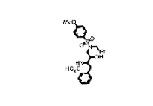 COc1ccc(S(=O)(=O)N(CC(C)C)CC(O)C(Cc2ccccc2)NC(=O)O)cc1